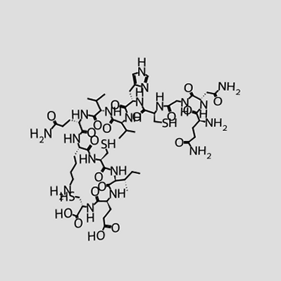 CC[C@H](C)[C@H](NC(=O)[C@H](CS)NC(=O)[C@H](CCCCN)NC(=O)[C@H](CCC(N)=O)NC(=O)[C@@H](NC(=O)[C@@H](NC(=O)[C@H](Cc1c[nH]cn1)NC(=O)[C@H](CS)NC(=O)CNC(=O)[C@H](CC(N)=O)NC(=O)[C@@H](N)CCC(N)=O)C(C)C)C(C)C)C(=O)N[C@@H](CCC(=O)O)C(=O)N[C@@H](CS)C(=O)O